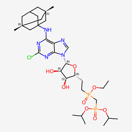 CCOP(=O)(CC[C@H]1O[C@@H](n2cnc3c(NC45CC6C[C@@](C)(C4)C[C@](C)(C6)C5)nc(Cl)nc32)[C@H](O)[C@@H]1O)CP(=O)(OC(C)C)OC(C)C